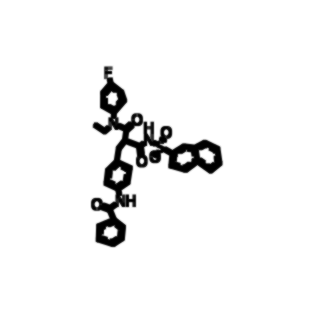 CCN(C(=O)C(Cc1ccc(NC(=O)c2ccccc2)cc1)C(=O)NS(=O)(=O)c1ccc2ccccc2c1)c1ccc(F)cc1